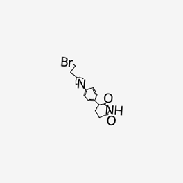 O=C1CCC(c2ccc(N3CC(CCBr)C3)cc2)C(=O)N1